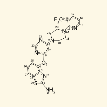 Nc1nc2c(Oc3cc(N4CCN(c5ncccc5C(F)(F)F)CC4)ncn3)cccc2s1